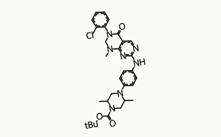 CC1CN(c2ccc(Nc3ncc4c(n3)N(C)CN(c3ccccc3Cl)C4=O)cc2)C(C)CN1C(=O)OC(C)(C)C